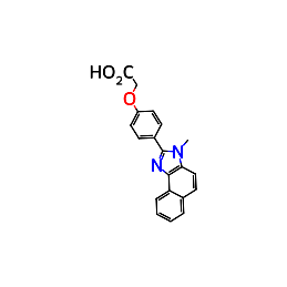 Cn1c(-c2ccc(OCC(=O)O)cc2)nc2c3ccccc3ccc21